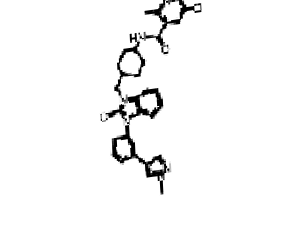 Cc1ncc(Cl)cc1C(=O)NC1CCC(Cn2c(=O)n(-c3cccc(-c4cnn(C)c4)c3)c3ccccc32)CC1